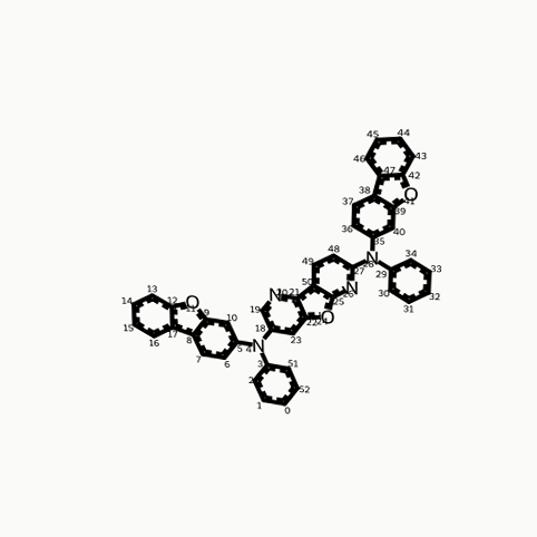 c1ccc(N(c2ccc3c(c2)oc2ccccc23)c2cnc3c(c2)oc2nc(N(c4ccccc4)c4ccc5c(c4)oc4ccccc45)ccc23)cc1